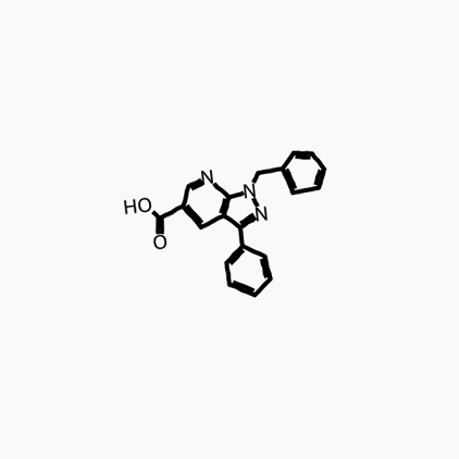 O=C(O)c1cnc2c(c1)c(-c1ccccc1)nn2Cc1ccccc1